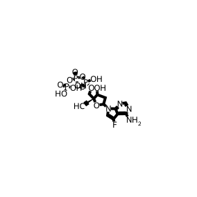 C#C[C@]1(COP(=O)(O)OP(=O)(O)OP(=O)(O)O)OC(n2cc(F)c3c(N)ncnc32)CC1O